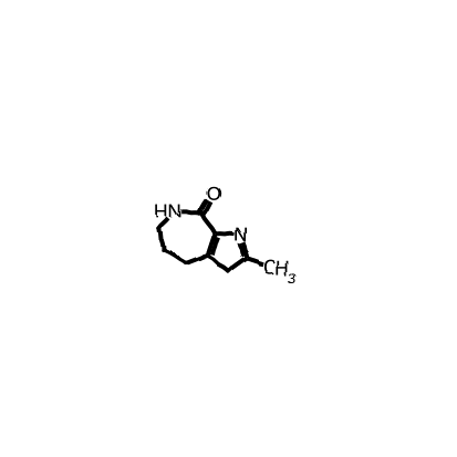 CC1=NC2=C(CCCNC2=O)C1